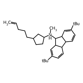 C=CCCCC1CCC([SiH](C)C2C3C=C(C(C)(C)C)C=CC3C3C=CC(C(C)(C)C)=CC32)C1